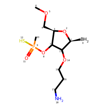 B[C@@H]1O[C@H](COC)C(OP(C)(=O)S)C1OCCCN